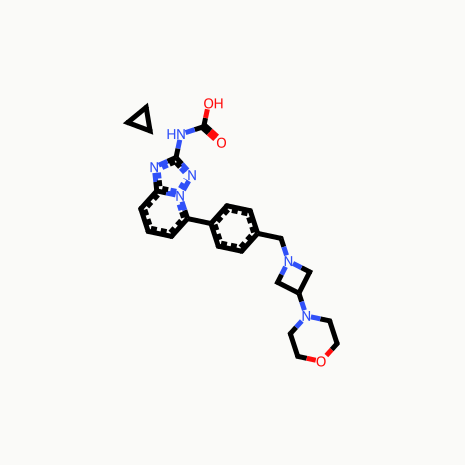 C1CC1.O=C(O)Nc1nc2cccc(-c3ccc(CN4CC(N5CCOCC5)C4)cc3)n2n1